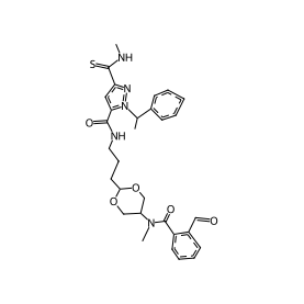 CNC(=S)c1cc(C(=O)NCCCC2OCC(N(C)C(=O)c3ccccc3C=O)CO2)n(C(C)c2ccccc2)n1